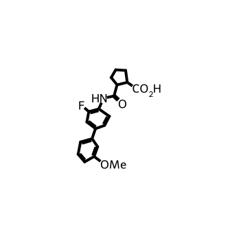 COc1cccc(-c2ccc(NC(=O)C3CCCC3C(=O)O)c(F)c2)c1